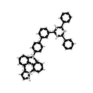 c1ccc(-c2nc(-c3ccccc3)nc(-c3cccc(-c4ccc(-n5c6cccc7c6c6c5cccc6n5nccc75)cc4)c3)n2)cc1